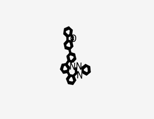 c1ccc2c(c1)-c1nc3ccccc3nc1-n1c3ccc(-c4ccc5c(c4)oc4ccccc45)cc3c3cccc-2c31